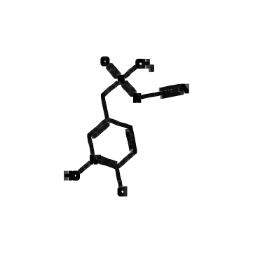 CS(=O)(Cc1ccc(Cl)[n+](O)c1)=NC#N